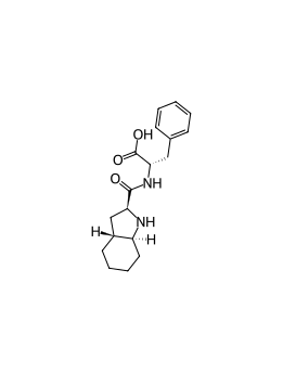 O=C(O)[C@H](Cc1ccccc1)NC(=O)[C@@H]1C[C@H]2CCCC[C@@H]2N1